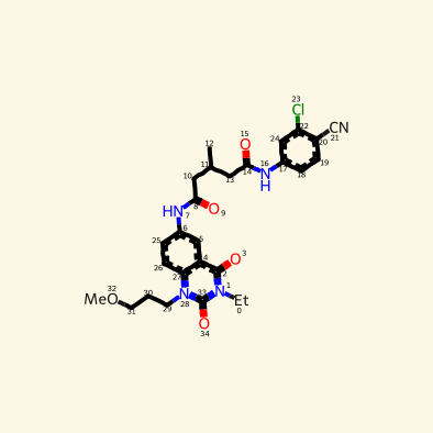 CCn1c(=O)c2cc(NC(=O)CC(C)CC(=O)Nc3ccc(C#N)c(Cl)c3)ccc2n(CCCOC)c1=O